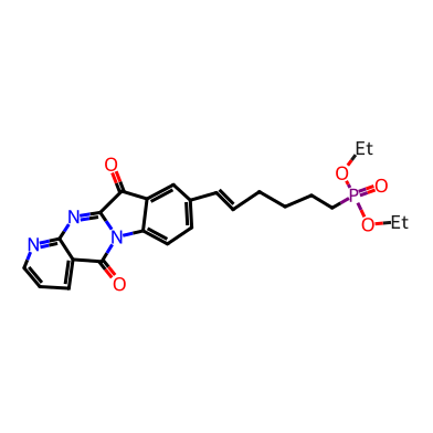 CCOP(=O)(CCCC/C=C/c1ccc2c(c1)C(=O)c1nc3ncccc3c(=O)n1-2)OCC